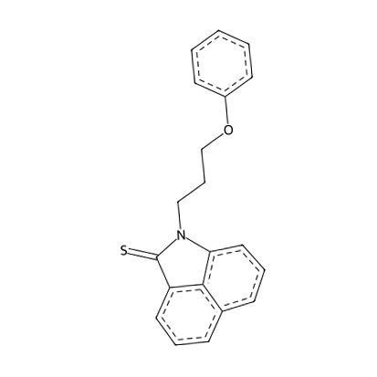 S=C1c2cccc3cccc(c23)N1CCCOc1ccccc1